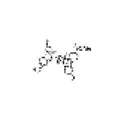 COC(=O)C1CCN2c3cc(CF)ccc3C3CN(C(=O)[C@]4(F)CNC[C@H]4c4ccc(C)cc4)C[C@@H]3C2(OC)C1